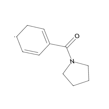 O=C(C1=CC[CH]C=C1)N1CCCC1